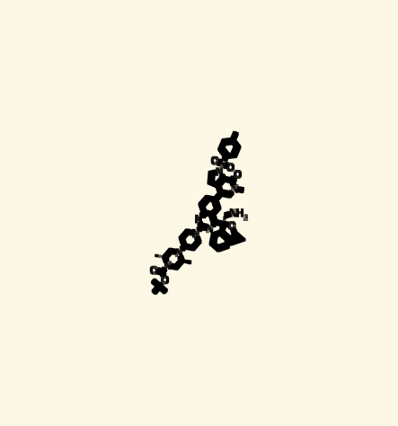 Cc1ccc(S(=O)(=O)n2ccc3c(-c4ccc5nc(N6CCC(N7C[C@@H](C)N(C(=O)OC(C)(C)C)C[C@@H]7C)CC6)nc([C@@](CN)(OC6CC6)c6ccccc6)c5c4)cn(C)c(=O)c32)cc1